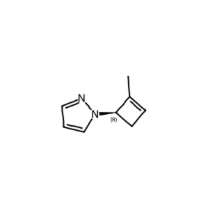 CC1=CC[C@H]1n1cccn1